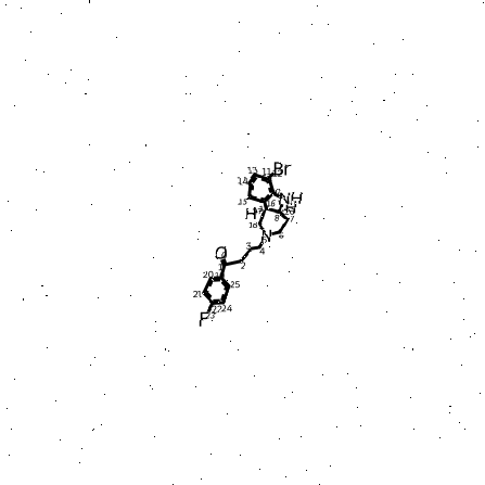 O=C(CCCN1CC[C@@H]2Nc3c(Br)cccc3[C@@H]2C1)c1ccc(F)cc1